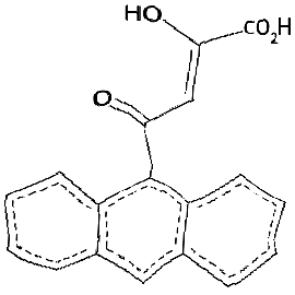 O=C(O)C(O)=CC(=O)c1c2ccccc2cc2ccccc12